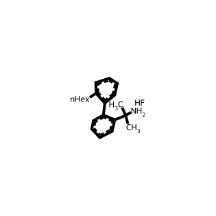 CCCCCCc1ccccc1-c1ccccc1C(C)(C)N.F